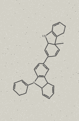 CC12C=CC(c3ccc4c(c3)C3C=CC=CC3N4C3=CC=CCC3)=CC1NC1=C2CCC=C1